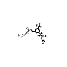 CCOOC(=O)/C=C/c1cc(C(F)(F)F)cc(S(=O)(=O)N(C)C[C@H]2CO2)c1